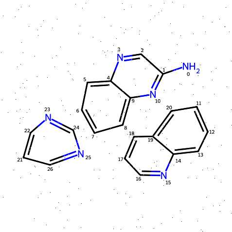 Nc1cnc2ccccc2n1.c1ccc2ncccc2c1.c1cncnc1